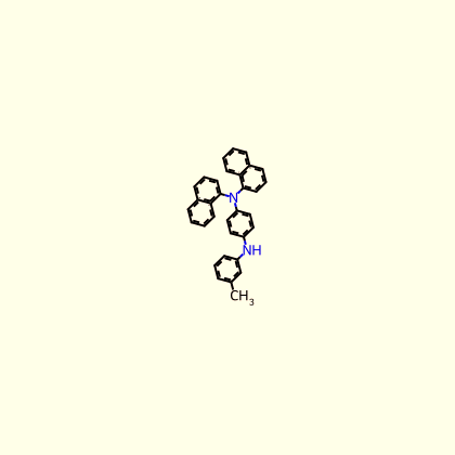 Cc1cccc(Nc2ccc(N(c3cccc4ccccc34)c3cccc4ccccc34)cc2)c1